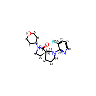 O=C1N(C2CCOCC2)CC[C@@]12CCCN(c1ncccc1F)C2